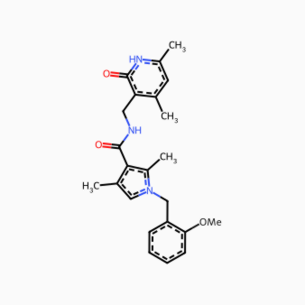 COc1ccccc1Cn1cc(C)c(C(=O)NCc2c(C)cc(C)[nH]c2=O)c1C